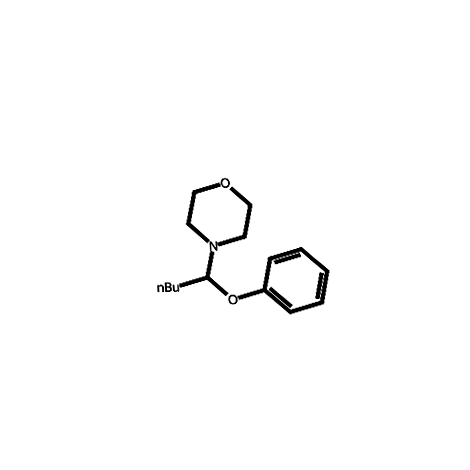 CCCCC(Oc1ccccc1)N1CCOCC1